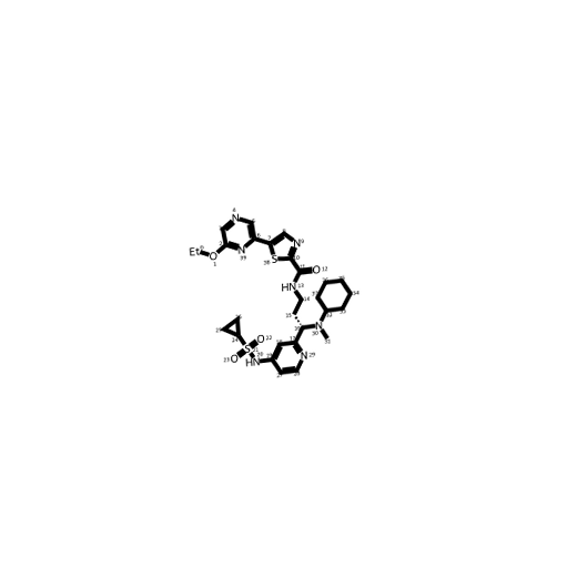 CCOc1cncc(-c2cnc(C(=O)NCC[C@@H](c3cc(NS(=O)(=O)C4CC4)ccn3)N(C)C3CCCCC3)s2)n1